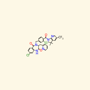 CC1(C)CN(C(=O)c2ccc(CN3C(=O)c4ccc(Cl)cc4NC(=O)C3Cc3ccccn3)cc2Cl)c2ncc(C(F)(F)F)cc21